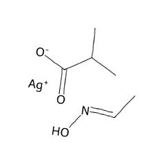 CC(C)C(=O)[O-].CC=NO.[Ag+]